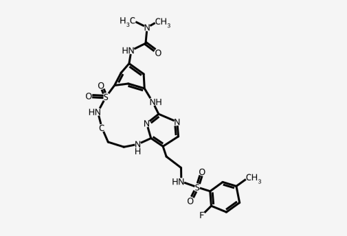 Cc1ccc(F)c(S(=O)(=O)NCCc2cnc3nc2NCCCNS(=O)(=O)c2cc(NC(=O)N(C)C)cc(c2)N3)c1